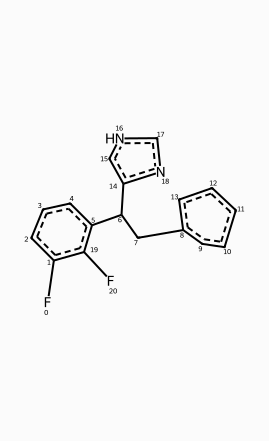 Fc1cccc(C(Cc2ccccc2)c2c[nH]cn2)c1F